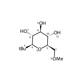 COC[C@H]1O[C@@H](C(C)(C)C)[C@H](O)[C@@H](O)[C@@H]1O